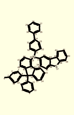 Cc1ccc(C2(c3ccccc3)c3ccccc3-c3c(N(c4ccc(-c5ccccc5)cc4)c4ccc5sc6ccccc6c5c4)cccc32)cc1